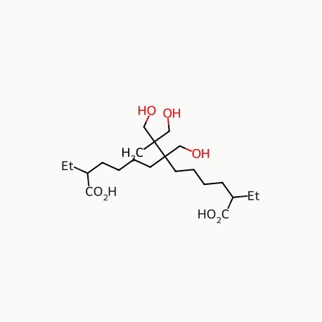 CCC(CCCCC(CO)(CCCCC(CC)C(=O)O)C(C)(CO)CO)C(=O)O